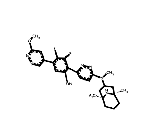 COc1cc(-c2cc(O)c(-c3ccc(N(C)C4C[C@]5(C)CCC[C@](C)(C4)N5)nn3)c(F)c2F)cnn1